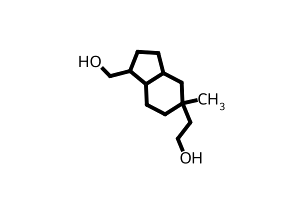 CC1(CCO)CCC2C(CO)CCC2C1